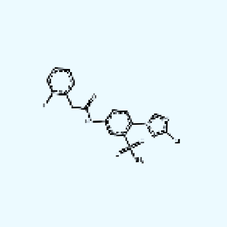 NS(=O)(=O)c1cc(NC(=O)Cc2ccccc2F)ccc1-n1cnc(Cl)n1